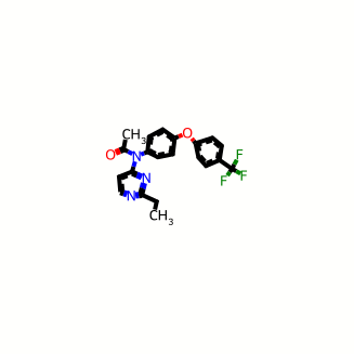 CCc1nccc(N(C(C)=O)c2ccc(Oc3ccc(C(F)(F)F)cc3)cc2)n1